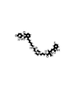 Cc1[nH]c(/C=C2\C(=O)Nc3ccc(F)cc32)c(C)c1C(=O)NCCCN1CCN(CC(=O)NCCCCCCc2cccc3c2C(=O)N(C2CCC(=O)NC2=O)C3=O)CC1